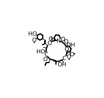 CCC[C@@H]1/C=C(\C)[C@@H](O)[C@H](C)C[C@H](OC)[C@H]2O[C@@](O)(C(=O)C(=O)N3CCCC[C@H]3C(=O)O[C@H](/C(C)=C/[C@@H]3CC[C@@H](O)[C@H](OC)C3)[C@H](C)[C@@H](O)CC1=O)[C@H](C)C[C@@H]2OC